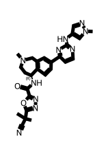 CN1CC[C@@H](NC(=O)c2nnc(C(C)(C)C#N)o2)c2ccc(-c3ccnc(Nc4cnn(C)c4)n3)cc2C1